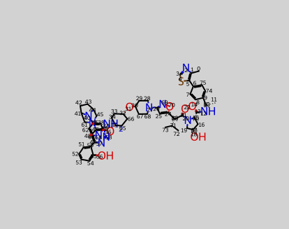 Cc1ncsc1-c1ccc([C@H](C)NC(=O)[C@@H]2C[C@@H](O)CN2C(=O)[C@@H](c2cc(N3CCC(O[C@H]4CC[C@@H](Oc5cc(N6C7CCC6CN(c6cc(-c8ccccc8O)nnc6N)C7)ccn5)CC4)CC3)no2)C(C)C)cc1